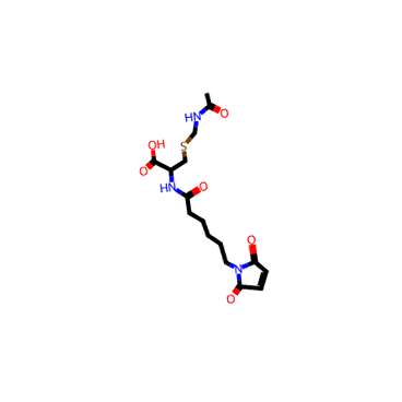 CC(=O)NCSCC(NC(=O)CCCCCN1C(=O)C=CC1=O)C(=O)O